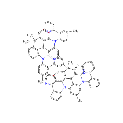 Cc1ccc(N2c3cc(CC[Si]4(C)c5cccc6c5B5c7c(cc(C(C)(C)C)cc7N(c7ccccc7-c7ccccn7)c7cccc4c75)N6c4ccccc4-c4ccccn4)cc4c3B3c5c2cccc5[Si](C)(C)c2cccc(c23)N4c2ccc(C)cc2-c2ccccn2)c(-c2ccccn2)c1